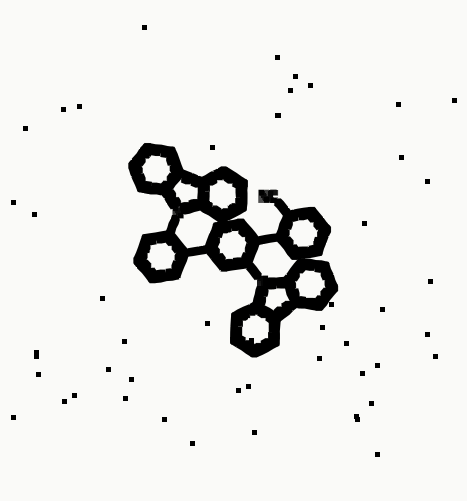 N#Cc1ccccc1-c1ccc(-c2ccccc2-n2c3ccccc3c3ccccc32)cc1-n1c2ccccc2c2ccccc21